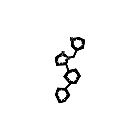 c1ccc(-c2cccc(-c3ccnn3Cc3cccnc3)c2)cc1